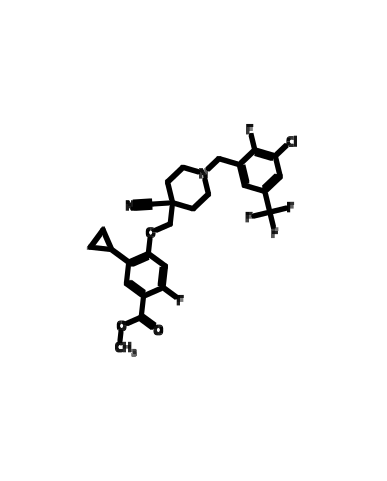 COC(=O)c1cc(C2CC2)c(OCC2(C#N)CCN(Cc3cc(C(F)(F)F)cc(Cl)c3F)CC2)cc1F